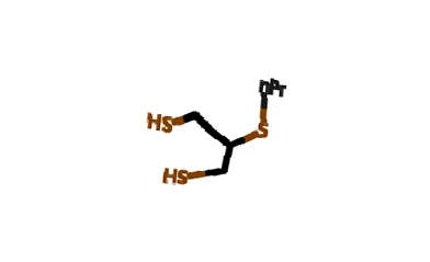 CCCSC(CS)CS